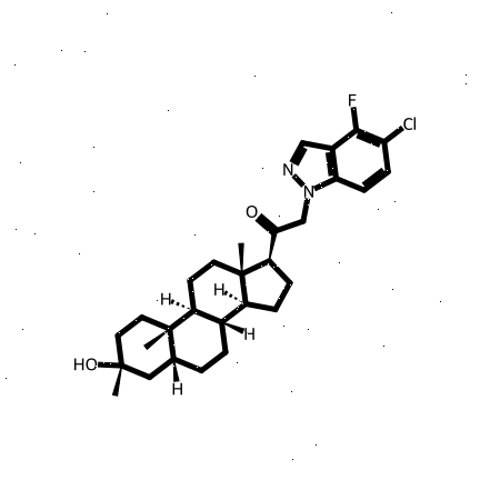 C[C@@]1(O)CC[C@@]2(C)[C@H](CC[C@@H]3[C@@H]2CC[C@]2(C)[C@@H](C(=O)Cn4ncc5c(F)c(Cl)ccc54)CC[C@@H]32)C1